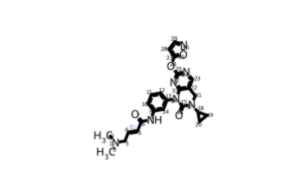 CN(C)C/C=C/C(=O)Nc1cccc(N2C(=O)N(C3CC3)Cc3cnc(Oc4ccno4)nc32)c1